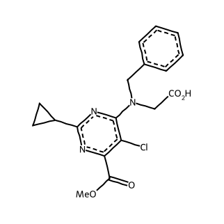 COC(=O)c1nc(C2CC2)nc(N(CC(=O)O)Cc2ccccc2)c1Cl